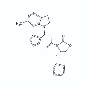 Cc1cnc2c(c1)N([C@H](CC(=O)N1C(=O)OC[C@@H]1Cc1ccccc1)c1ccsc1)CC2